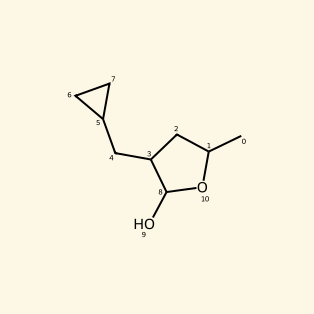 CC1CC(CC2CC2)C(O)O1